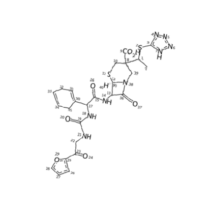 CC(Sc1nnn[nH]1)C1(C(=O)O)CS[C@@H]2C(NC(=O)C(NC(=O)NCC(=O)c3ccco3)C3=CCC=CC3)C(=O)N2C1